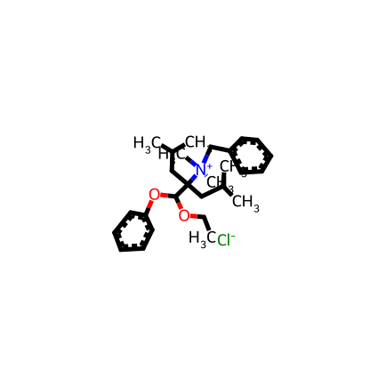 CCOC(Oc1ccccc1)C(CC(C)C)(CC(C)C)[N+](C)(C)Cc1ccccc1.[Cl-]